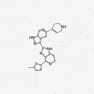 Cc1ccc(-c2nccc3[nH]c(-c4n[nH]c5cnc(C6=CCNCC6)cc45)nc23)s1